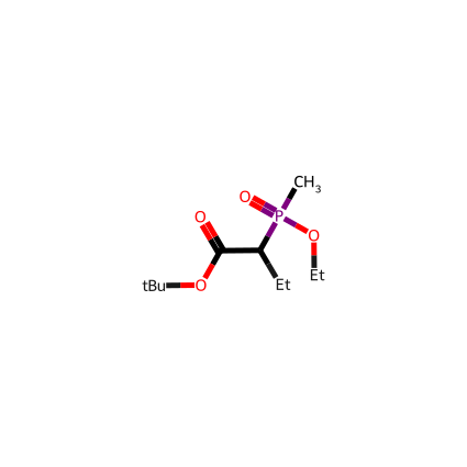 CCOP(C)(=O)C(CC)C(=O)OC(C)(C)C